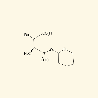 CCC(C)C(C(=O)O)[C@H](C)N(C=O)OC1CCCCO1